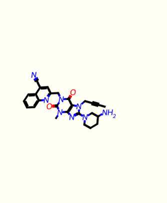 CC#CCn1c(N2CCCC(N)C2)nc2c1c(=O)n(Cc1cc(C#N)c3ccccc3n1)c(=O)n2C